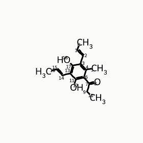 CC=Cc1c(C)c(C(=O)CC)c(O)c(C=CC)c1O